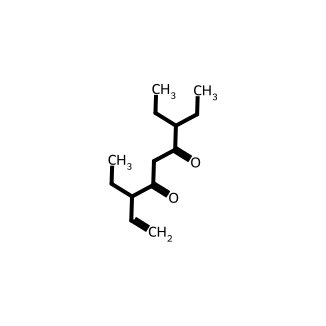 C=CC(CC)C(=O)CC(=O)C(CC)CC